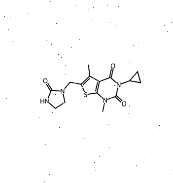 Cc1c(CN2CCNC2=O)sc2c1c(=O)n(C1CC1)c(=O)n2C